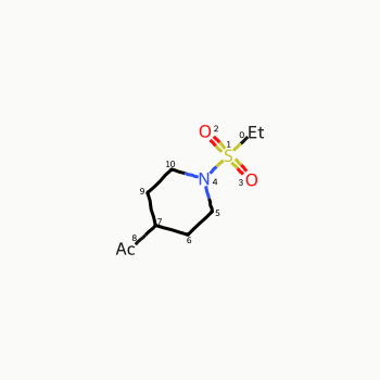 CCS(=O)(=O)N1CCC(C(C)=O)CC1